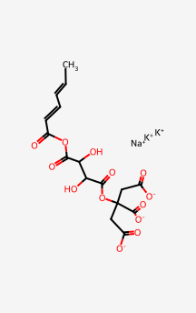 C/C=C/C=C/C(=O)OC(=O)C(O)C(O)C(=O)OC(CC(=O)[O-])(CC(=O)[O-])C(=O)[O-].[K+].[K+].[Na+]